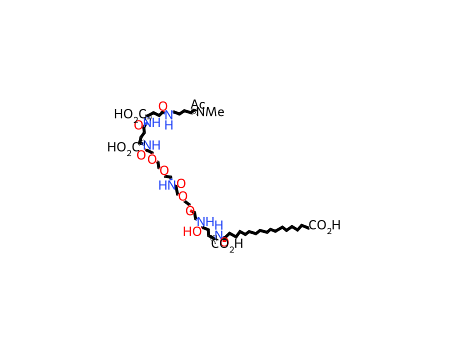 CN[C@@H](CCCCNC(=O)CC[C@H](NC(=O)CC[C@H](NC(=O)COCCOCCNC(=O)COCCOCCNC(O)CC[C@H](NC(=O)CCCCCCCCCCCCCCCCC(=O)O)C(=O)O)C(=O)O)C(=O)O)C(C)=O